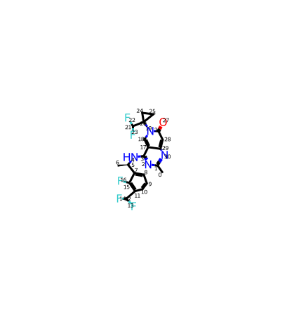 Cc1nc(N[C@H](C)c2cccc(C(F)F)c2F)c2cn(C3(C(F)F)CC3)c(=O)cc2n1